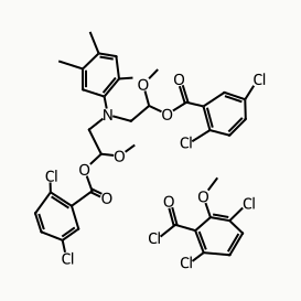 COC(CN(CC(OC)OC(=O)c1cc(Cl)ccc1Cl)c1cc(C)c(C)cc1C)OC(=O)c1cc(Cl)ccc1Cl.COc1c(Cl)ccc(Cl)c1C(=O)Cl